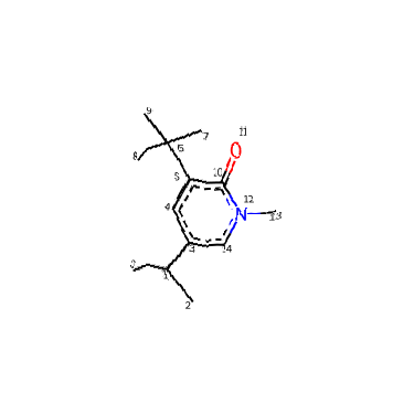 CC(C)c1cc(C(C)(C)C)c(=O)n(C)c1